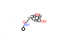 CC[C@H]1[C@@H](O)C2[C@@H]3CC[C@H]([C@H](C)CCCC(=O)NCc4ccccc4)C3(C)CC[C@@H]2C2(C)CC[C@@H](O)C[C@@H]12